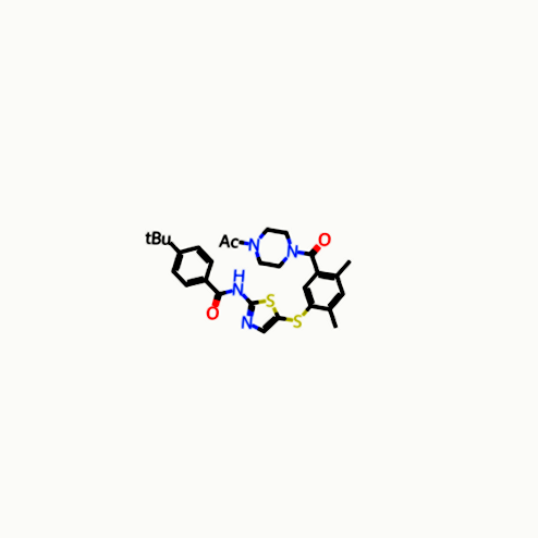 CC(=O)N1CCN(C(=O)c2cc(Sc3cnc(NC(=O)c4ccc(C(C)(C)C)cc4)s3)c(C)cc2C)CC1